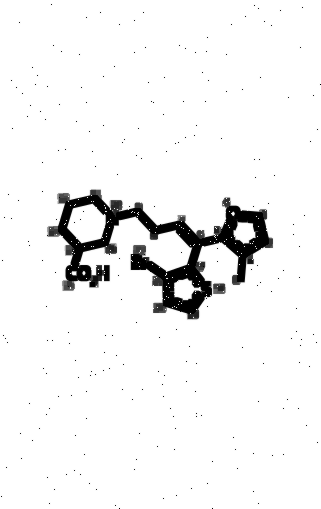 Cc1ccoc1C(=CCCN1CCCC(C(=O)O)C1)c1sccc1Br